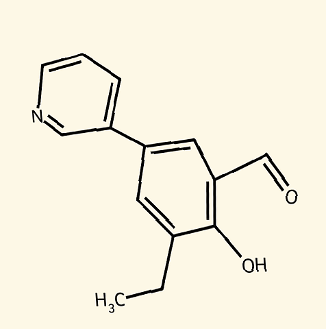 CCc1cc(-c2cccnc2)cc(C=O)c1O